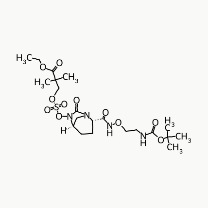 CCOC(=O)C(C)(C)COS(=O)(=O)ON1C(=O)N2C[C@H]1CC[C@H]2C(=O)NOCCNC(=O)OC(C)(C)C